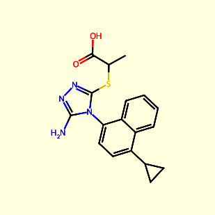 CC(Sc1nnc(N)n1-c1ccc(C2CC2)c2ccccc12)C(=O)O